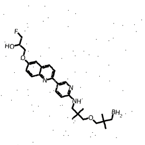 BCC(C)(C)COCC(C)(C)CNc1ccc(-c2ccc3cc(OCC(O)CF)ccc3n2)cn1